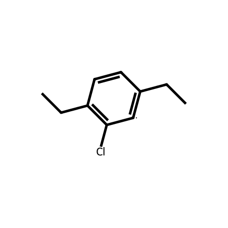 CCc1[c]c(Cl)c(CC)cc1